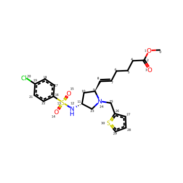 COC(=O)CCCC=C[C@@H]1C[C@@H](NS(=O)(=O)c2ccc(Cl)cc2)CN1Cc1cccs1